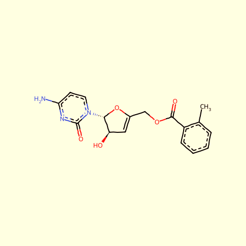 Cc1ccccc1C(=O)OCC1=C[C@@H](O)[C@H](n2ccc(N)nc2=O)O1